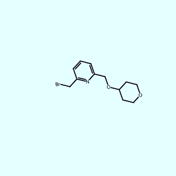 BrCc1cccc(COC2CCOCC2)n1